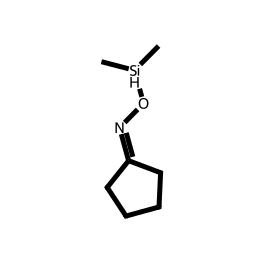 C[SiH](C)ON=C1CCCC1